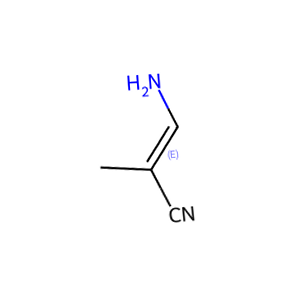 C/C(C#N)=C\N